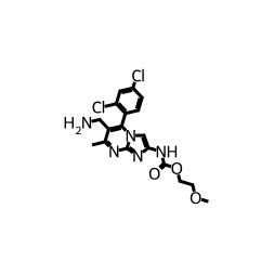 COCCOC(=O)Nc1cn2c(-c3ccc(Cl)cc3Cl)c(CN)c(C)nc2n1